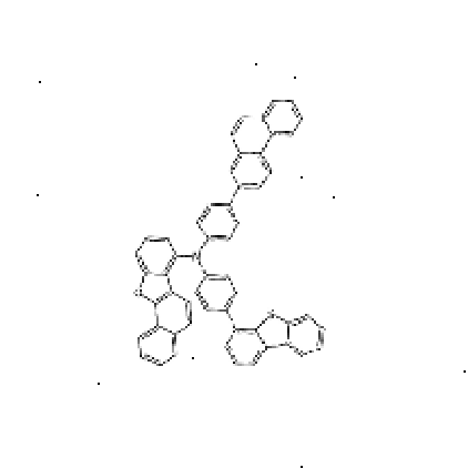 c1ccc2c(c1)ccc1cc(-c3ccc(N(c4ccc(-c5cccc6c5sc5ccccc56)cc4)c4cccc5oc6c7ccccc7ccc6c45)cc3)ccc12